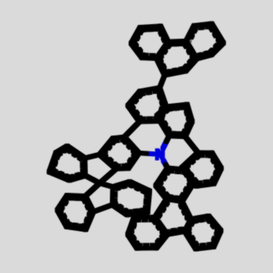 c1ccc(-c2ccccc2N(c2ccc3c4ccccc4c4ccccc4c3c2)c2cc3c(cc2-c2ccc(-c4cc5ccccc5c5ccccc45)cc2)-c2ccccc2C32c3ccccc3-c3ccccc32)cc1